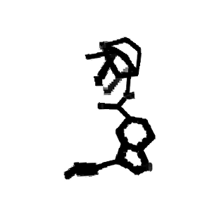 CC#Cc1coc2ccc(C(=O)N[C@@H]3C4CCN(CC4)[C@H]3C)cc12